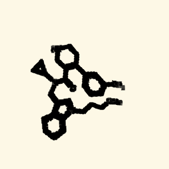 Bc1cccc(C2=C(C(=O)N(Cc3cn(CCCOC)c4ccccc34)C3CC3)CNCC2)c1